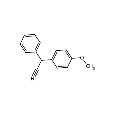 COc1ccc(C(C#N)c2ccccc2)cc1